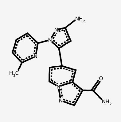 Cc1cccc(-n2nc(N)cc2-c2ccn3ncc(C(N)=O)c3c2)n1